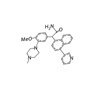 COc1ccc(C(C(N)=O)c2ccc(-c3cccnc3)c3ccccc23)cc1N1CCN(C)CC1